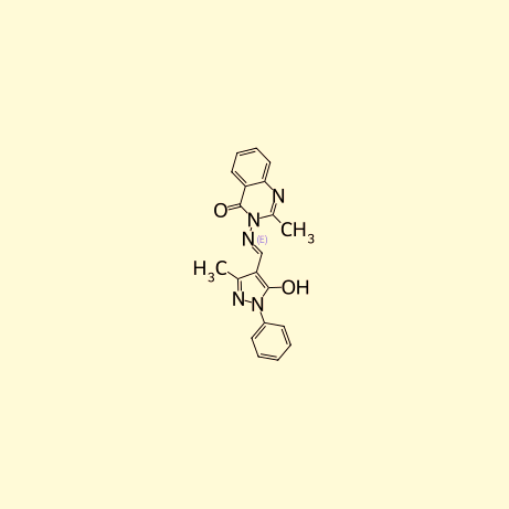 Cc1nn(-c2ccccc2)c(O)c1/C=N/n1c(C)nc2ccccc2c1=O